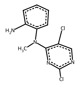 CN(c1ccccc1N)c1nc(Cl)ncc1Cl